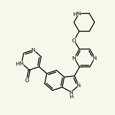 O=c1[nH]cncc1-c1ccc2[nH]nc(-c3cncc(OC4CCCNC4)n3)c2c1